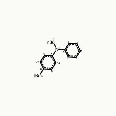 CCCCN(c1ccccc1)c1ccc(C(C)(C)C)cc1